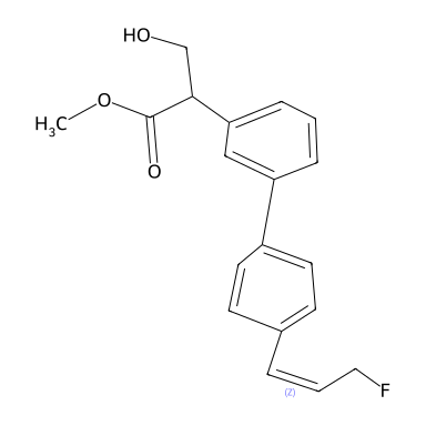 COC(=O)C(CO)c1cccc(-c2ccc(/C=C\CF)cc2)c1